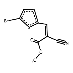 COC(=O)C(C#N)=Cc1ccc(Br)s1